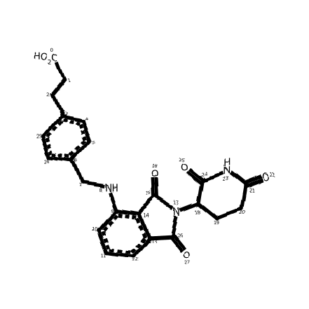 O=C(O)CCc1ccc(CNc2cccc3c2C(=O)N(C2CCC(=O)NC2=O)C3=O)cc1